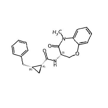 CN1C(=O)[C@@H](NC(=O)[C@@H]2C[C@@H]2Cc2ccccc2)COc2ccccc21